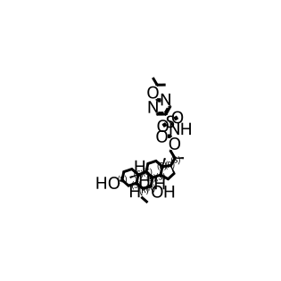 CC[C@H]1[C@@H](O)[C@@H]2[C@H](CC[C@]3(C)[C@@H]([C@H](C)COC(=O)NS(=O)(=O)c4cnc(OC(C)C)nc4)CC[C@@H]23)[C@@]2(C)CC[C@H](O)C[C@@H]12